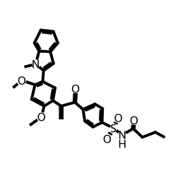 C=C(C(=O)c1ccc(S(=O)(=O)NC(=O)CCC)cc1)c1cc(-c2cc3ccccc3n2C)c(OC)cc1OC